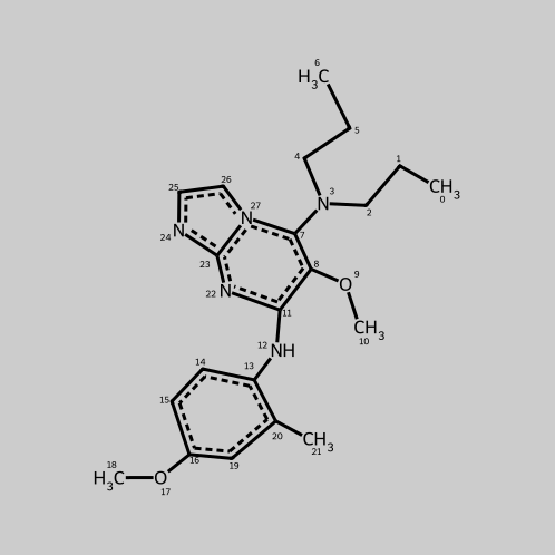 CCCN(CCC)c1c(OC)c(Nc2ccc(OC)cc2C)nc2nccn12